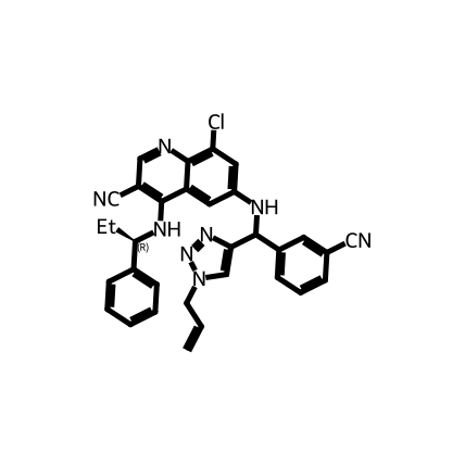 C=CCn1cc(C(Nc2cc(Cl)c3ncc(C#N)c(N[C@H](CC)c4ccccc4)c3c2)c2cccc(C#N)c2)nn1